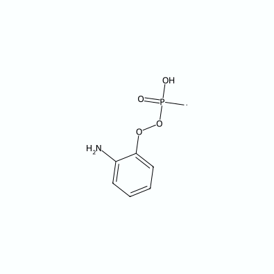 [CH2]P(=O)(O)OOc1ccccc1N